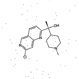 CN1CCC([C@@](C)(O)c2ccc3cnc(Cl)cc3n2)CC1